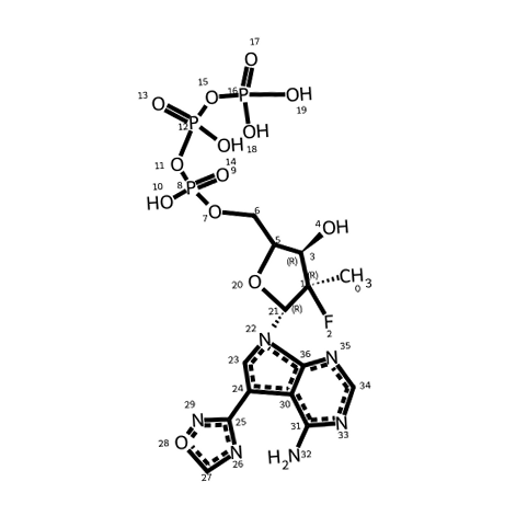 C[C@@]1(F)[C@H](O)C(COP(=O)(O)OP(=O)(O)OP(=O)(O)O)O[C@H]1n1cc(-c2ncon2)c2c(N)ncnc21